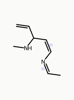 C=CC(/C=C\N=C/C)NC